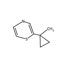 CC1(C2=C[N]C=CS2)CC1